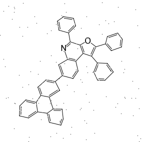 c1ccc(-c2oc3c(-c4ccccc4)nc4cc(-c5ccc6c7ccccc7c7ccccc7c6c5)ccc4c3c2-c2ccccc2)cc1